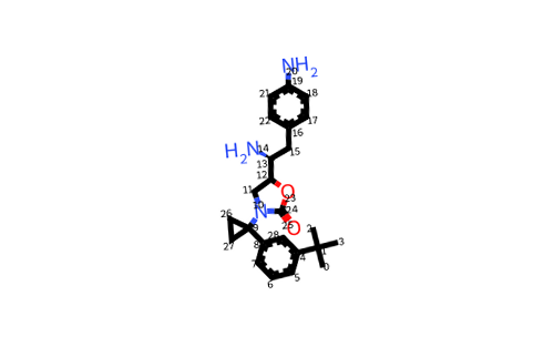 CC(C)(C)c1cccc(C2(N3CC([C@@H](N)Cc4ccc(N)cc4)OC3=O)CC2)c1